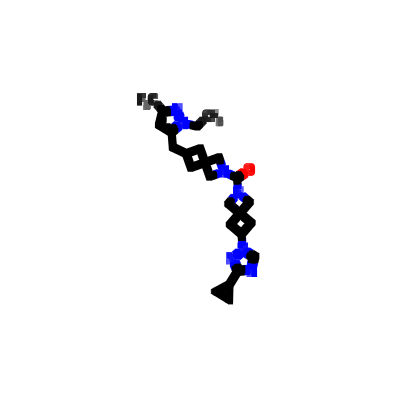 O=C(N1CC2(CC(Cc3cc(C(F)(F)F)nn3CC(F)(F)F)C2)C1)N1CC2(CC(n3cnc(C4CC4)n3)C2)C1